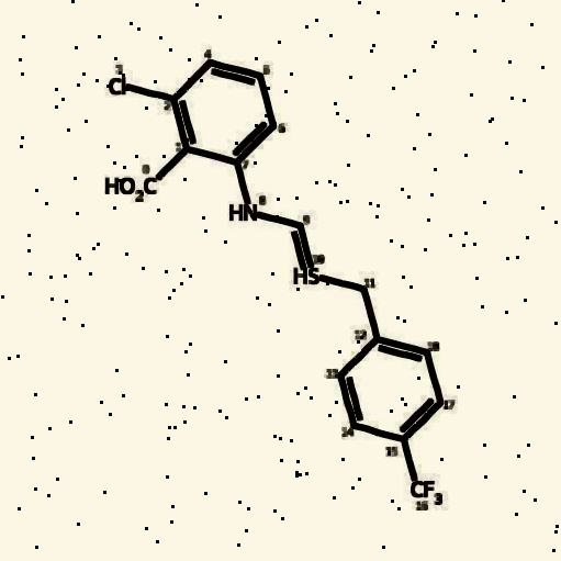 O=C(O)c1c(Cl)cccc1NC=[SH]Cc1ccc(C(F)(F)F)cc1